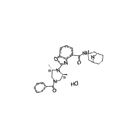 C[C@H]1CN(C(=O)c2ccccc2)C[C@H](C)N1c1nc2c(C(=O)NC3CC4CCCC(C3)N4C)cccc2o1.Cl